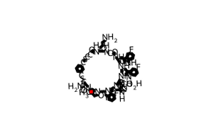 C[C@@]12CCCN1C(=O)[C@H](Cc1cccc(F)c1)NC(=O)[C@H](Cc1cnc[nH]1)NC(=O)[C@H](CC(=O)O)NC(=O)[C@H](Cc1c[nH]c3ccc(F)cc13)NC(=O)[C@H](Cc1c[nH]c3ccc(F)cc13)NC(=O)CNC(=O)[C@H](CCCCN)NC(=O)CCSCc1cccc(c1)CSC[C@@H](C(N)=O)NC2=O